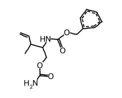 C=CC(C)C(COC(N)=O)NC(=O)OCc1ccccc1